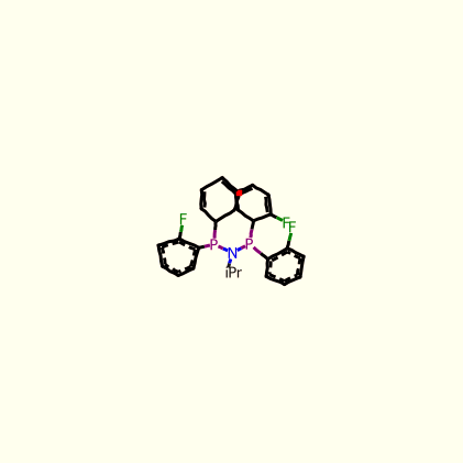 CC(C)N(P(c1ccccc1F)C1C=CC=CC1)P(c1ccccc1F)C1CC=CC=C1F